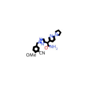 COc1ccc(Cn2ncc(C(C(N)=O)c3ccc(N4CCCC4)nc3)n2)cc1C#N